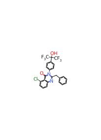 O=c1c2c(Cl)cccc2nc(Cc2ccccc2)n1-c1ccc(C(O)(C(F)(F)F)C(F)(F)F)cc1